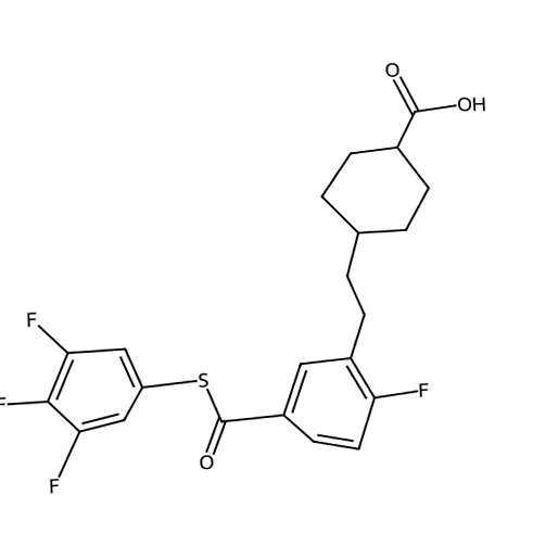 O=C(Sc1cc(F)c(F)c(F)c1)c1ccc(F)c(CCC2CCC(C(=O)O)CC2)c1